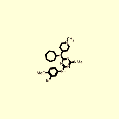 CNc1nc(Nc2ccc(OC)c(Br)c2)nc(N(C2CCCCCC2)C2CCN(C)CC2)n1